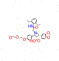 CCc1cccc(CC)c1NC(=O)CN1C[C@H](c2ccc3c(c2)OCO3)[C@H](C(=O)O)[C@H]1c1ccc(OCCOCCOC)cc1